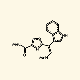 CNC=C(c1nc(C(=O)OC)cs1)c1c[nH]c2ccccc12